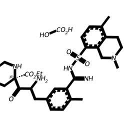 CCOC(=O)[C@]1(C(=O)C(N)Cc2ccc(C)c(C(=N)NS(=O)(=O)c3ccc(C)c4c3CN(C)CC4)c2)CC=CCN1.O=C(O)O